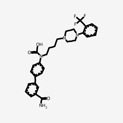 NC(=O)c1cccc(-c2ccc(N(CCCCN3CCN(c4ccccc4C(F)(F)F)CC3)C(=O)O)cc2)c1